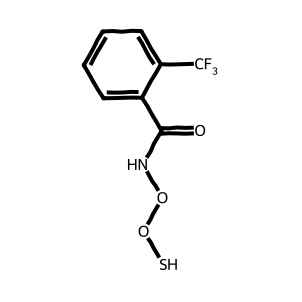 O=C(NOOS)c1ccccc1C(F)(F)F